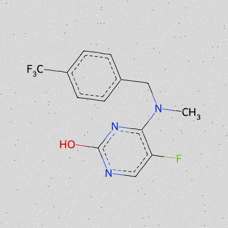 CN(Cc1ccc(C(F)(F)F)cc1)c1nc(O)ncc1F